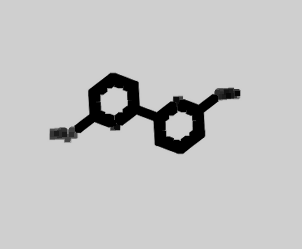 COc1cccc(-c2cccc(C(=O)O)n2)n1